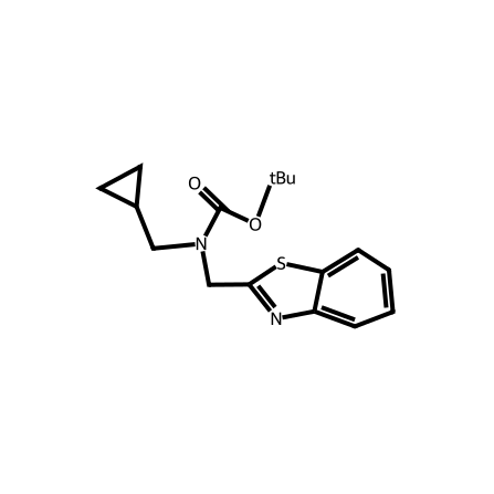 CC(C)(C)OC(=O)N(Cc1nc2ccccc2s1)CC1CC1